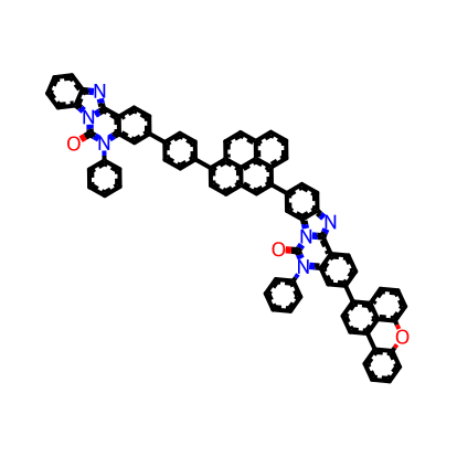 O=c1n(-c2ccccc2)c2cc(-c3ccc(-c4ccc5cc(-c6ccc7nc8c9ccc(-c%10ccc%11c%12c(cccc%10%12)Oc%10ccccc%10-%11)cc9n(-c9ccccc9)c(=O)n8c7c6)c6cccc7ccc4c5c76)cc3)ccc2c2nc3ccccc3n12